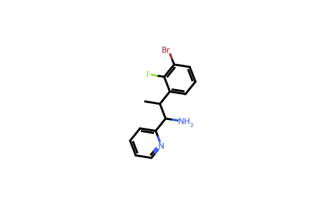 CC(c1cccc(Br)c1F)C(N)c1ccccn1